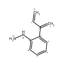 C=CC(=C)c1ccccc1NN